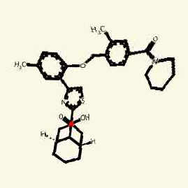 Cc1ccc(OCc2ccc(C(=O)N3CCCCC3)cc2C)c(-c2csc(N3C[C@@H]4CCC[C@@H](C3)C4C(=O)O)n2)c1